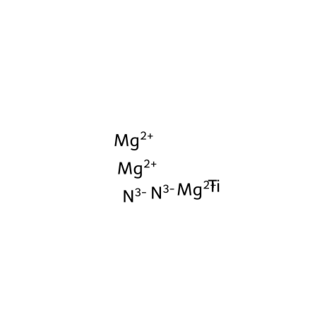 [Mg+2].[Mg+2].[Mg+2].[N-3].[N-3].[Ti]